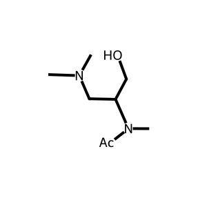 CC(=O)N(C)C(CO)CN(C)C